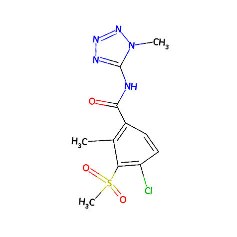 Cc1c(C(=O)Nc2nnnn2C)ccc(Cl)c1S(C)(=O)=O